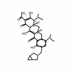 CN(C)c1cc(CN2CC3CC3C2)c(O)c2c1C[C@H]1C[C@@H]3C(C(=O)C(C(N)=O)=C(O)[C@H]3N(C)C)C(O)=C1C2=O